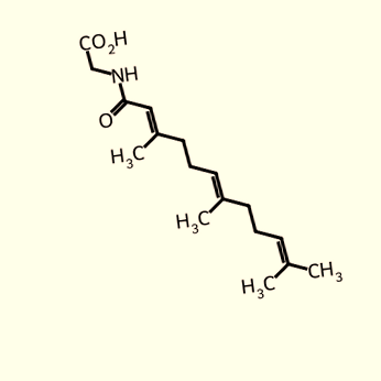 CC(C)=CCC/C(C)=C/CC/C(C)=C/C(=O)NCC(=O)O